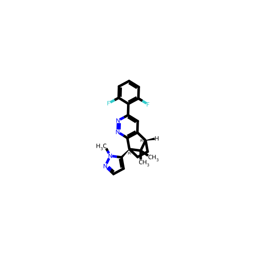 Cn1nccc1[C@@]12CC[C@@H](c3cc(-c4c(F)cccc4F)nnc31)C2(C)C